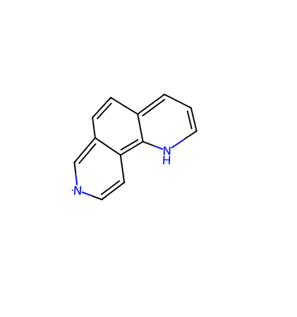 C1=CNc2c3c(ccc2=C1)=C[N]C=C3